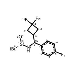 CC(C)(C)[S@+]([O-])N[C@H](c1ccc(F)cc1)C1CC(F)(F)C1